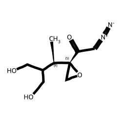 C[C@H](C(CO)CO)[C@@]1(C(=O)C=[N+]=[N-])CO1